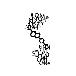 C#CCCN(Cc1ncc(C2=CCC3C=C(c4ccc(-c5cnc([C@@H]6CCCN6C(=O)[C@@H](NC(=O)OC)C6CCSCC6)[nH]5)cc4)C=CC3=C2)[nH]1)C(O)[C@@H](NC(O)OC)C(C)C